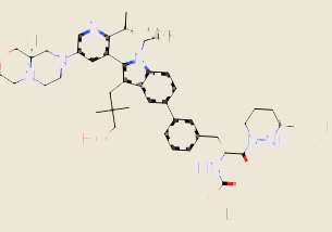 CO[C@@H](C)c1ncc(N2CCN3CCOC[C@@H]3C2)cc1-c1c(CC(C)(C)CO)c2cc(-c3cccc(C[C@H](NC(=O)OC(C)(C)C)C(=O)N4CCC[C@@H](C(=O)O)N4)c3)ccc2n1CC(F)(F)F